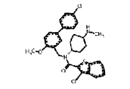 CN[C@H]1CC[C@H](N(Cc2cc(-c3ccc(Cl)cc3)ccc2OC)C(=O)c2sc3ccccc3c2Cl)CC1